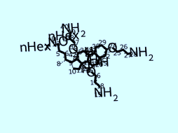 CCCCCCN(CCCCCC)C(=O)CC[C@@H](C)[C@H]1CC[C@H]2[C@@H]3[C@H](OCCCN)C[C@@H]4CC(OCCCN)CC[C@]4(C)[C@H]3C[C@H](OCCCN)[C@]12C